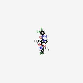 Cc1c(C(=O)C(=O)NC2(C)CC(F)(F)C2)c2n(c1C(=O)Nc1ccc(F)c(Cl)c1)CCC2